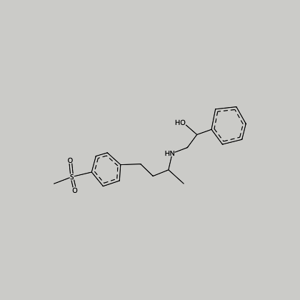 CC(CCc1ccc(S(C)(=O)=O)cc1)NCC(O)c1ccccc1